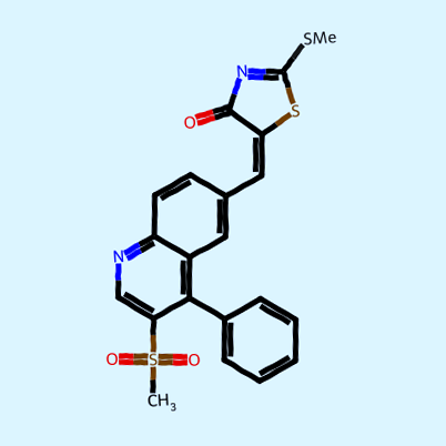 CSC1=NC(=O)/C(=C\c2ccc3ncc(S(C)(=O)=O)c(-c4ccccc4)c3c2)S1